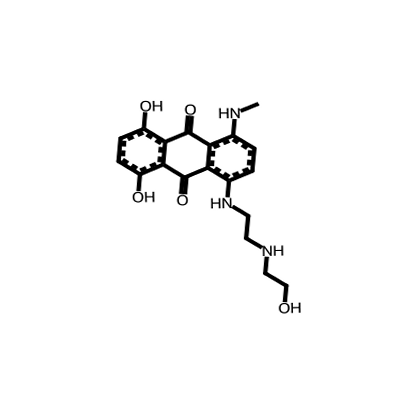 CNc1ccc(NCCNCCO)c2c1C(=O)c1c(O)ccc(O)c1C2=O